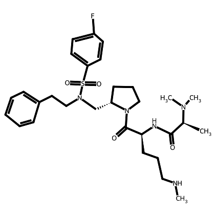 CNCCC[C@H](NC(=O)[C@H](C)N(C)C)C(=O)N1CCC[C@H]1CN(CCc1ccccc1)S(=O)(=O)c1ccc(F)cc1